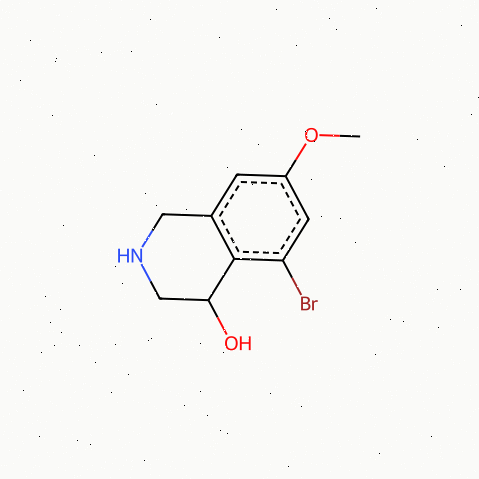 COc1cc(Br)c2c(c1)CNCC2O